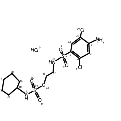 Cl.Nc1cc(Cl)c(S(=O)(=O)NCCOS(=O)(=O)NC2CCCCC2)cc1Cl